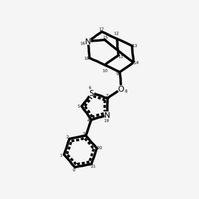 c1ccc(-c2csc(OC3C4CC5CC3CN(C5)C4)n2)cc1